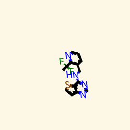 CC(F)(F)c1ncccc1CNc1ncnc2ccsc12